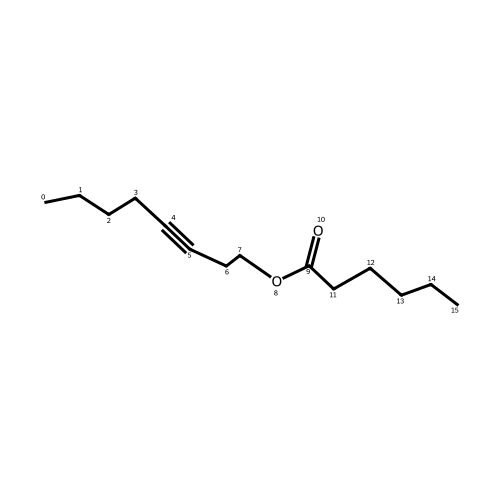 CCCCC#CCCOC(=O)CCCCC